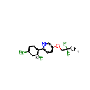 F[C@H]1CC(Br)=CC=C1c1ccc(OCC(F)(F)C(F)(F)F)cn1